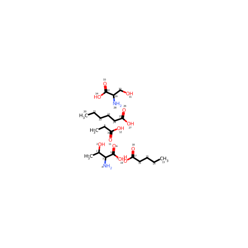 CC(O)C(N)C(=O)O.CCC(=O)O.CCCCC(=O)O.CCCCCC(=O)O.NC(CO)C(=O)O